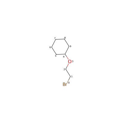 BrCCOC1CCCCC1